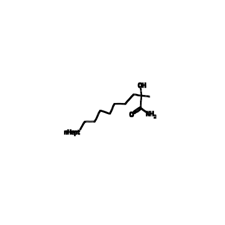 CCCCCCCCCCCCCCC(C)(O)C(N)=O